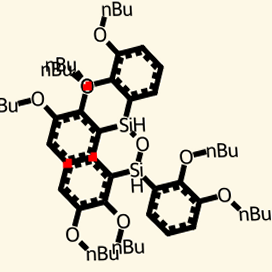 CCCCOc1cccc([SiH](O[SiH](c2cccc(OCCCC)c2OCCCC)c2cccc(OCCCC)c2OCCCC)c2cccc(OCCCC)c2OCCCC)c1OCCCC